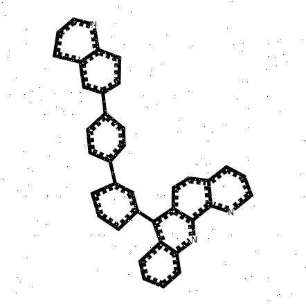 c1cc(-c2ccc(-c3ccc4ncccc4c3)cc2)cc(-c2c3ccccc3nc3c2ccc2cccnc23)c1